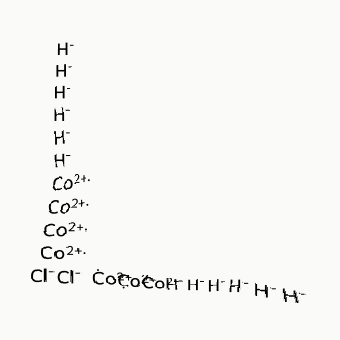 [Cl-].[Cl-].[Co+2].[Co+2].[Co+2].[Co+2].[Co+2].[Co+2].[Co+2].[H-].[H-].[H-].[H-].[H-].[H-].[H-].[H-].[H-].[H-].[H-].[H-]